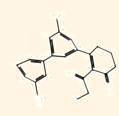 CCC(=O)C1=C(c2cc(O)cc(-c3cccc(O)c3)c2)CCCC1=O